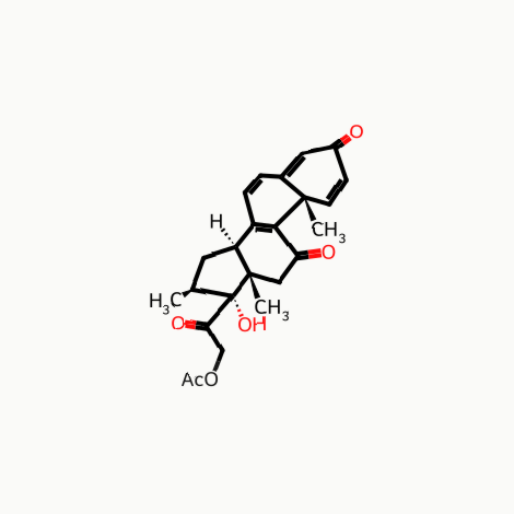 CC(=O)OCC(=O)[C@@]1(O)[C@@H](C)C[C@H]2C3=C(C(=O)C[C@@]21C)[C@@]1(C)C=CC(=O)C=C1C=C3